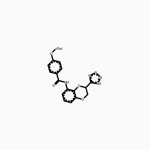 CCCCCCCCCCOc1ccc(C(=O)Nc2cccc3c2OC(c2nnn[nH]2)CO3)cc1